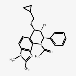 CC(=O)N1c2c(ccc3c2nc(C)n3C)[C@@H](OCC2CC2)[C@H](O)[C@H]1c1ccccc1